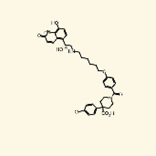 O=C(c1ccc(OCCCCCCNC[C@H](O)c2ccc(O)c3[nH]c(=O)ccc23)cc1)N1CCC(C(=O)O)(c2ccc(Cl)cc2)CC1